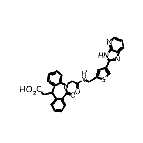 O=C(O)CC1c2ccccc2C(=O)N(CC(=O)NCc2cc(-c3nc4cccnc4[nH]3)cs2)c2ccccc21